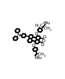 C/C(=C\C(C)(C)C)c1ccc(Oc2cc3c4c(cc(Oc5ccc(C(C)(C)CC(C)(C)C)cc5)c5c6ccc(-c7ccc(N(c8ccccc8)c8ccccc8)cc7)c7cccc(c2c45)c76)C(=O)OC3=O)cc1